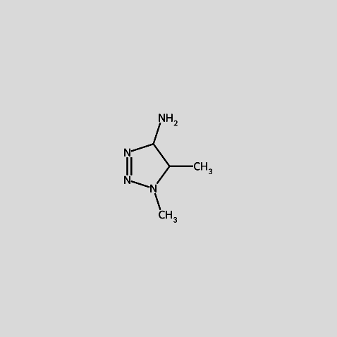 CC1C(N)N=NN1C